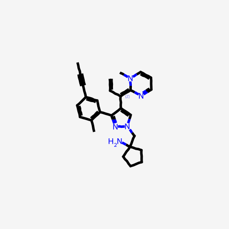 C=C/C(=C1/N=CC=CN1C)c1cn(CC2(N)CCCC2)nc1-c1cc(C#CC)ccc1C